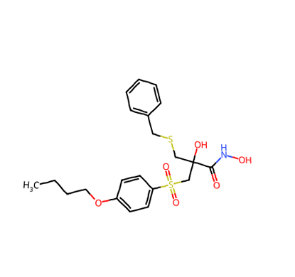 CCCCOc1ccc(S(=O)(=O)CC(O)(CSCc2ccccc2)C(=O)NO)cc1